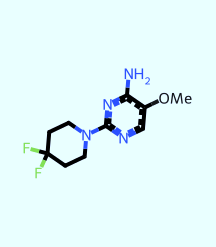 COc1cnc(N2CCC(F)(F)CC2)nc1N